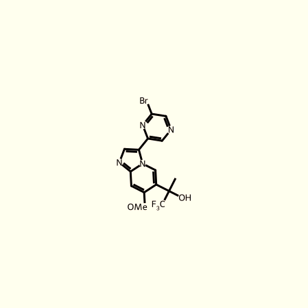 COc1cc2ncc(-c3cncc(Br)n3)n2cc1C(C)(O)C(F)(F)F